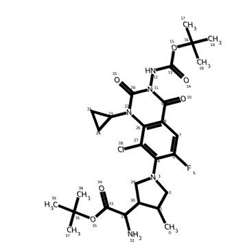 CC1CN(c2c(F)cc3c(=O)n(NC(=O)OC(C)(C)C)c(=O)n(C4CC4)c3c2Cl)CC1C(N)C(=O)OC(C)(C)C